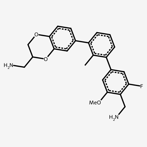 COc1cc(-c2cccc(-c3ccc4c(c3)OC(CN)CO4)c2C)cc(F)c1CN